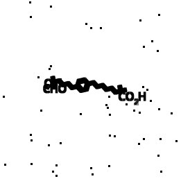 CC(C)(CCCCc1ccc(CCCCCCC(C)(C)C(=O)O)cc1)OC=O